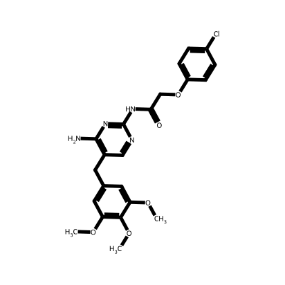 COc1cc(Cc2cnc(NC(=O)COc3ccc(Cl)cc3)nc2N)cc(OC)c1OC